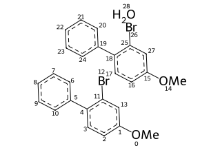 COc1ccc(-c2ccccc2)c(Br)c1.COc1ccc(-c2ccccc2)c(Br)c1.O